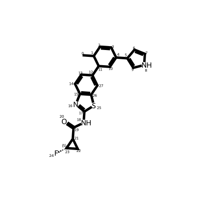 CC1C=CC(c2cc[nH]c2)=CC1c1ccc2nc(NC(=O)C3C[C@@H]3F)sc2c1